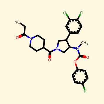 CN(C(=O)Oc1ccc(F)cc1)C1CN(C(=O)C2CCN(C(=O)CC#N)CC2)CC1c1ccc(Cl)c(Cl)c1